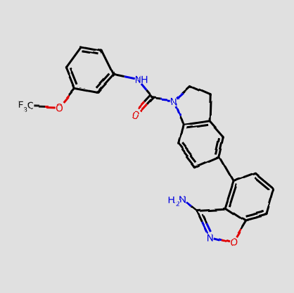 Nc1noc2cccc(-c3ccc4c(c3)CCN4C(=O)Nc3cccc(OC(F)(F)F)c3)c12